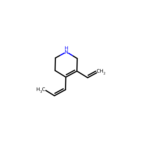 C=CC1=C(/C=C\C)CCNC1